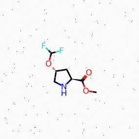 COC(=O)[C@@H]1C[C@@H](OC(F)F)CN1